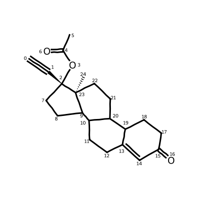 C#C[C@]1(OC(C)=O)CCC2C3CCC4=CC(=O)CCC4C3CC[C@@]21C